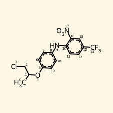 CC(CCl)Oc1ccc(Nc2ccc(C(F)(F)F)cc2[N+](=O)[O-])cc1